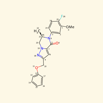 COc1cc(N2C(=O)c3cc(COc4ccccc4)nn3C[C@H]2C)ccc1F